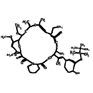 CCC1/C=C(\C)CC(C)CC(OC)C2OC(O)(C(=O)C(=O)N3CCCCC3C(=O)OC(C(C)=CC3CCC(O)C(O[Si](C)(C)C(C)(C)C)C3)C(C)CCC1=O)C(C)CC2OC